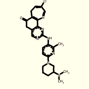 Cc1nc(N2CCCC(N(C)C)C2)ccc1Nc1ncc2c(n1)C1=C(CC=C(Cl)C=N1)C(=O)C2